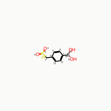 O=[SH](=O)Cc1ccc(B(O)O)cc1